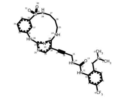 CN(C)Cc1ccc(C(F)(F)F)cc1NC(=O)NCC#Cc1cnc2nc1NCCCNS(=O)(=O)c1cccc(c1)N2